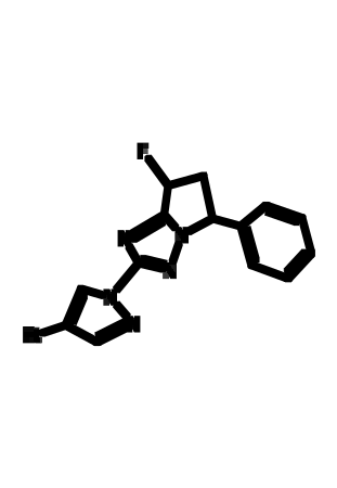 CCc1cnn(-c2nc3n(n2)C(c2ccccc2)CC3F)c1